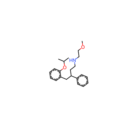 COCCNCCC(Cc1ccccc1OC(C)C)c1ccccc1